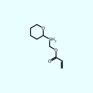 C=CC(=O)OC[SiH2]C1CCCCO1